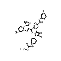 COC(=O)Nc1ccc(-c2nc([C@H](CC(=O)NCc3cccc(Cl)c3)NC(=O)C=Cc3cc(Cl)ccc3-n3cnnn3)[nH]c2Cl)cc1